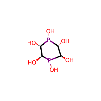 O[C@@H]1[C@@H](O)[P@](O)[C@@H](O)[C@H](O)[P@]1O